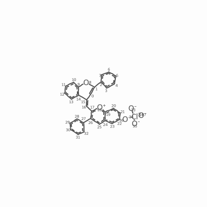 C1=C(c2ccccc2)Oc2ccccc2C1=Cc1[o+]c2ccccc2cc1-c1ccccc1.[O-][Cl+3]([O-])([O-])[O-]